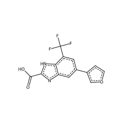 O=C(O)c1nc2cc(-c3ccoc3)cc(C(F)(F)F)c2[nH]1